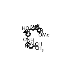 COc1cc(-c2cc(C(O)N3CC[C@H](C(=O)Nc4cnn5ccc([C@H](C)O)nc45)CC34CC4)n[nH]2)c(F)cn1